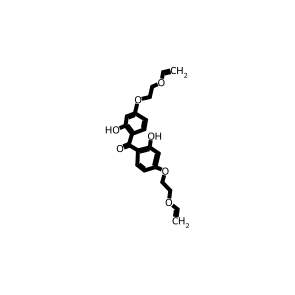 C=COCCOc1ccc(C(=O)c2ccc(OCCOC=C)cc2O)c(O)c1